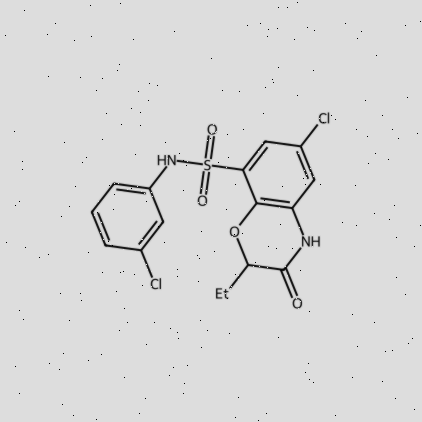 CCC1Oc2c(cc(Cl)cc2S(=O)(=O)Nc2cccc(Cl)c2)NC1=O